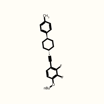 CCCCOc1ccc(C#C[C@H]2CC[C@H](c3ccc(C)cc3)CC2)c(F)c1F